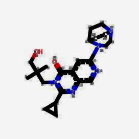 CC(C)(CO)Cn1c(C2CC2)nc2cnc(N3CCN4CCC3CC4)cc2c1=O